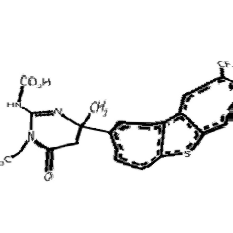 CN1C(=O)CC(C)(c2ccc3sc4ccc(C(F)(F)F)cc4c3c2)N=C1NC(=O)O